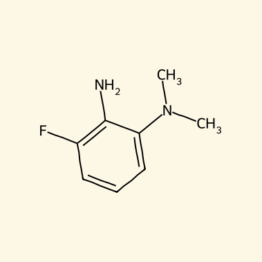 CN(C)c1cccc(F)c1N